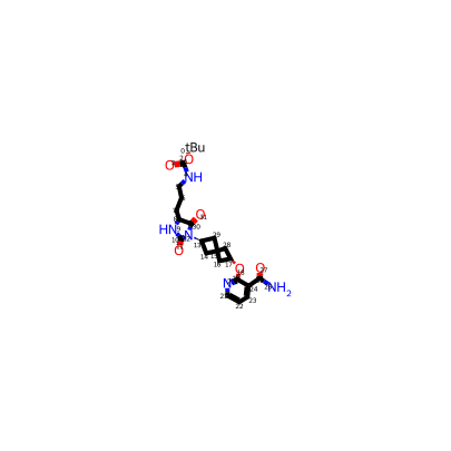 CC(C)(C)OC(=O)NCCCC1NC(=O)N([C@H]2CC3(C[C@H](Oc4ncccc4C(N)=O)C3)C2)C1=O